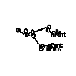 CCCCCC(CCCC)CCOC(=O)CCCCCCCCOC1CC(OC(=O)CCCN2CCCC2)CC1OCCCCCCCC(=O)OCCC(CCCCC)CCCCC